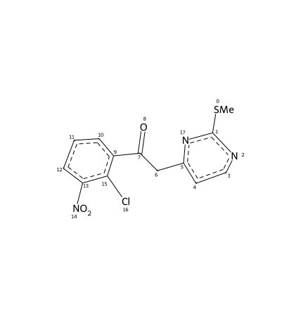 CSc1nccc(CC(=O)c2cccc([N+](=O)[O-])c2Cl)n1